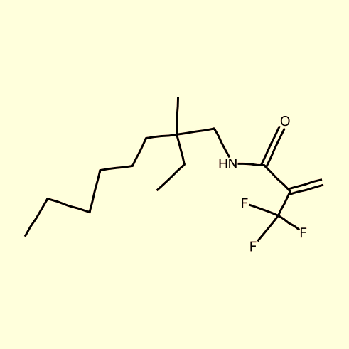 C=C(C(=O)NCC(C)(CC)CCCCCC)C(F)(F)F